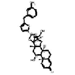 C[C@]12C=CC(=O)C=C1CC[C@@H]1C2[C@@H](O)C[C@@]2(C)C1C[C@H]1O[C@@H](c3ccc(Cc4cccc(N)c4)s3)O[C@]12C(=O)CO